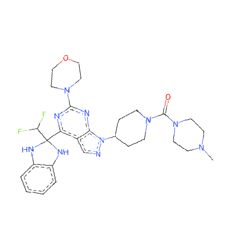 CN1CCN(C(=O)N2CCC(n3ncc4c(C5(C(F)F)Nc6ccccc6N5)nc(N5CCOCC5)nc43)CC2)CC1